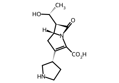 C[C@@H](O)[C@H]1C(=O)N2C(C(=O)O)=C([C@@H]3CCNC3)C[C@H]12